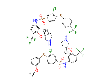 COc1cccc(Sc2ccc(S(=O)(=O)Nc3ccc(C(F)(F)F)c(O[C@]4(C)CCNC4)c3)cc2Cl)c1.C[C@@]1(Oc2cc(NS(=O)(=O)c3ccc(Sc4ccc(C(F)(F)F)cc4)c(Cl)c3)ccc2C(F)(F)F)CCNC1